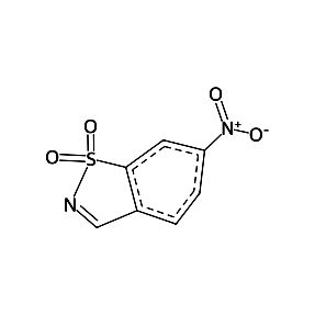 O=[N+]([O-])c1ccc2c(c1)S(=O)(=O)N=C2